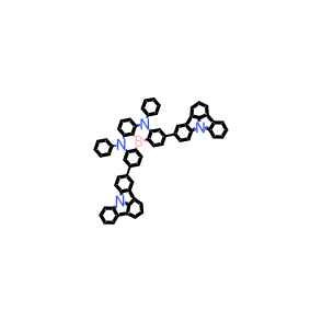 c1ccc(N2c3cc(-c4ccc5c(c4)c4cccc6c7ccccc7n5c64)ccc3B3c4ccc(-c5ccc6c(c5)c5cccc7c8ccccc8n6c75)cc4N(c4ccccc4)c4cccc2c43)cc1